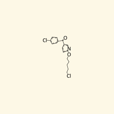 O=C(c1ccc(Cl)cc1)c1ccc(OCCCCCCl)nc1